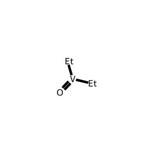 C[CH2][V](=[O])[CH2]C